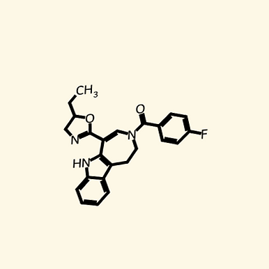 CCC1CN=C(C2=CN(C(=O)c3ccc(F)cc3)CCc3c2[nH]c2ccccc32)O1